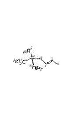 CC=CCC(CCC)(CCC)C(=O)O